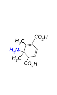 CC1=C(C(=O)O)C=CC(C(=O)O)C1(C)N